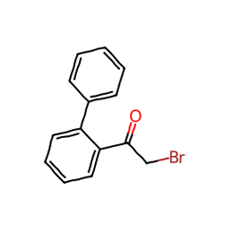 O=C(CBr)c1ccccc1-c1ccccc1